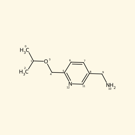 CC(C)OCc1ccc(CN)cn1